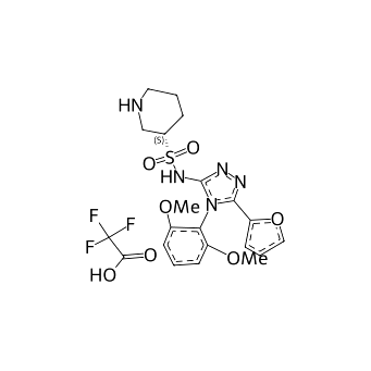 COc1cccc(OC)c1-n1c(NS(=O)(=O)[C@H]2CCCNC2)nnc1-c1ccco1.O=C(O)C(F)(F)F